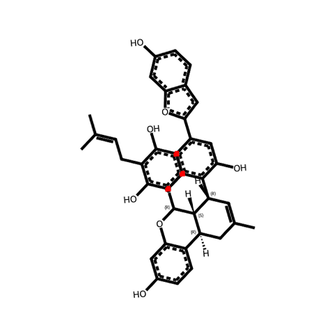 CC(C)=CCc1c(O)ccc([C@]23Oc4cc(O)ccc4[C@@H]4CC(C)=C[C@@H](c5c(O)cc(-c6cc7ccc(O)cc7o6)cc5O2)[C@H]43)c1O